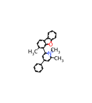 Cc1ccc2c(oc3ccccc32)c1-c1cc(-c2ccccc2)cc(C)[n+]1C